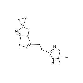 CC1(C)CN=C(SCC2=CSC3=NC4(CC4)CN23)N1